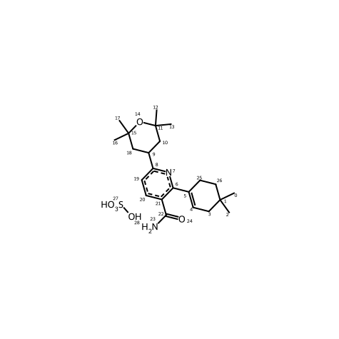 CC1(C)CC=C(c2nc(C3CC(C)(C)OC(C)(C)C3)ccc2C(N)=O)CC1.O=S(=O)(O)O